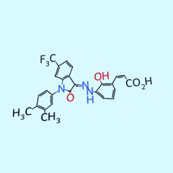 Cc1ccc(N2C(=O)C(=NNc3cccc(/C=C\C(=O)O)c3O)c3ccc(C(F)(F)F)cc32)cc1C